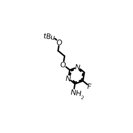 CC(C)(C)OCCOc1ncc(F)c(N)n1